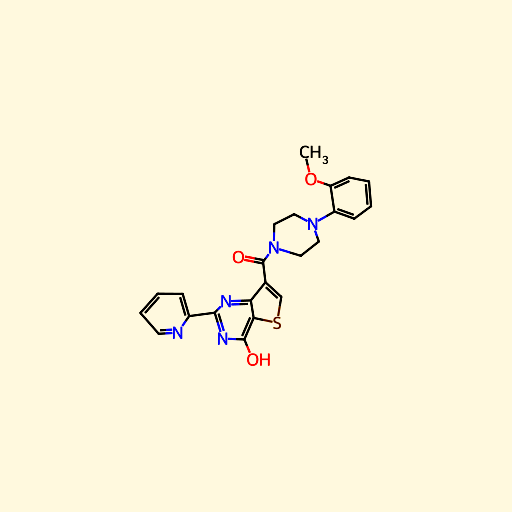 COc1ccccc1N1CCN(C(=O)c2csc3c(O)nc(-c4ccccn4)nc23)CC1